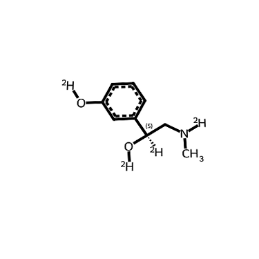 [2H]Oc1cccc([C@@]([2H])(CN([2H])C)O[2H])c1